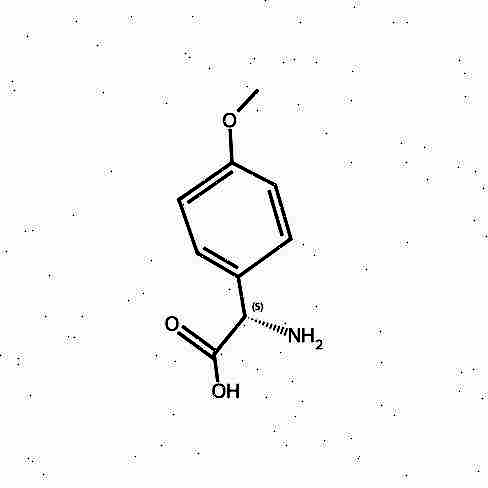 COc1ccc([C@H](N)C(=O)O)cc1